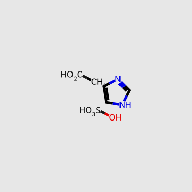 CC(=O)O.O=S(=O)(O)O.c1c[nH]cn1